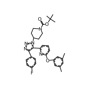 Cc1cc(C)cc(Oc2cccc(-c3c(-c4ccc(F)cc4)nnn3C3CCN(C(=O)OC(C)(C)C)CC3)n2)c1